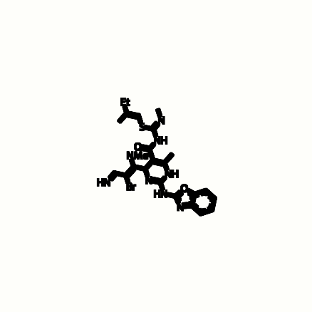 CC/C(C)=C/S/C(=N\C)NC(=O)C1=C(C)NC(Nc2nc3ccccc3o2)=NC1/C(NC)=C(\Br)C=N